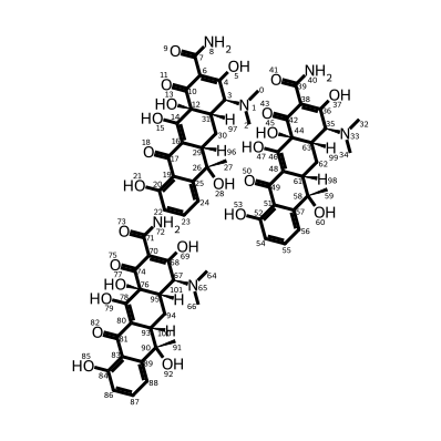 CN(C)[C@@H]1C(O)=C(C(N)=O)C(=O)[C@@]2(O)C(O)=C3C(=O)c4c(O)cccc4[C@@](C)(O)[C@H]3C[C@@H]12.CN(C)[C@@H]1C(O)=C(C(N)=O)C(=O)[C@@]2(O)C(O)=C3C(=O)c4c(O)cccc4[C@@](C)(O)[C@H]3C[C@@H]12.CN(C)[C@@H]1C(O)=C(C(N)=O)C(=O)[C@@]2(O)C(O)=C3C(=O)c4c(O)cccc4[C@@](C)(O)[C@H]3C[C@@H]12